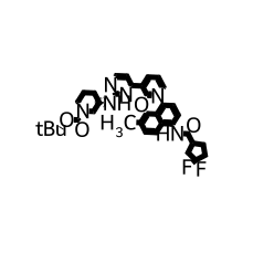 Cc1ccc2c(NC(=O)C3CCC(F)(F)C3)cccc2c1Oc1ncccc1-c1ccnc(N[C@H]2CCCN(C(=O)OC(C)(C)C)C2)n1